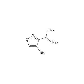 CCCCCCC(CCCCCC)c1nocc1N